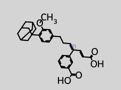 COc1cc(CC/C=C(/C=CC(=O)O)c2cccc(C(=O)O)c2)ccc1C12CC3CC(CC(C3)C1)C2